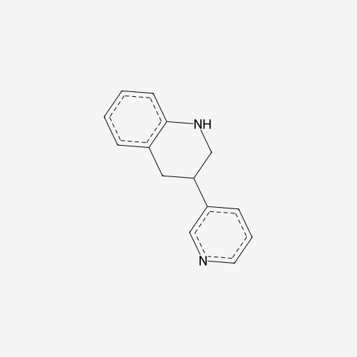 c1cncc(C2CNc3ccccc3C2)c1